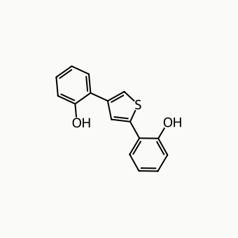 Oc1ccccc1-c1csc(-c2ccccc2O)c1